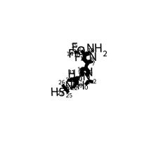 CC(C)n1nc(-c2cnc(N)c(OC(F)(F)F)c2)cc1[C@H]1[C@@H]2CN(C(C)(C)S)C[C@@H]21